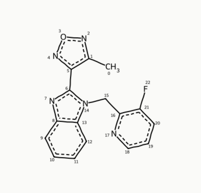 Cc1nonc1-c1nc2ccccc2n1Cc1ncccc1F